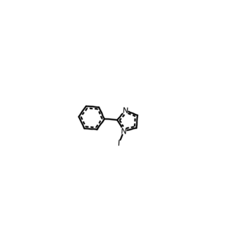 In1ccnc1-c1ccccc1